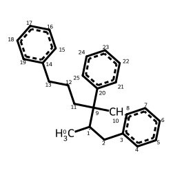 C[C](Cc1ccccc1)C(C)(CCCc1ccccc1)c1ccccc1